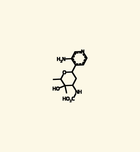 CC1OC(c2ccncc2N)CC(NC(=O)O)C1(C)O